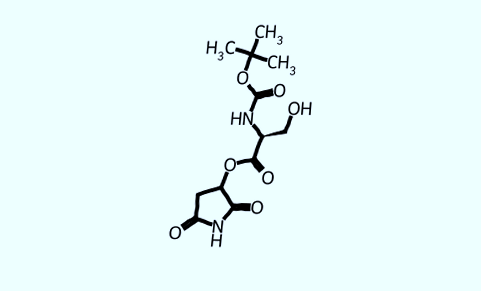 CC(C)(C)OC(=O)N[C@@H](CO)C(=O)OC1CC(=O)NC1=O